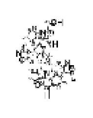 Cc1noc(C)c1-c1cc(CN2CCN(C3(C4CCCC4)C(=O)Nc4ccc(-c5c(C)noc5C)cc43)CC2)c2c(c1)C(NCCO)(C1CCCC1)C(=O)N2